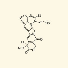 CCC1=Nc2cccc3nc4c(c(c23)N1CCC(C)C)Cn1c-4cc2c(c1=O)COC(=O)[C@@]2(CC)OC(C)=O